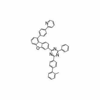 Cc1ccccc1-c1ccc(-c2nc(-c3ccccc3)nc(-c3ccc4c(c3)oc3cccc(-c5ccc(-c6ccccn6)cc5)c34)n2)cc1